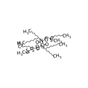 CCCCCCCCC(CCCCCC)CN1C(=O)C2=C(c3ccc(-c4cc(CCCCCC)c(-c5ccc(C)s5)s4)o3)N(CC(CCCCCC)CCCCCCCC)C(=O)C2=C1c1ccc(-c2cc(CCCCCC)c(C)s2)o1